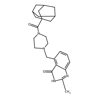 Cc1nc2cccc(CN3CCN(C(=O)C45CC6CC(CC(C6)C4)C5)CC3)c2c(=O)[nH]1